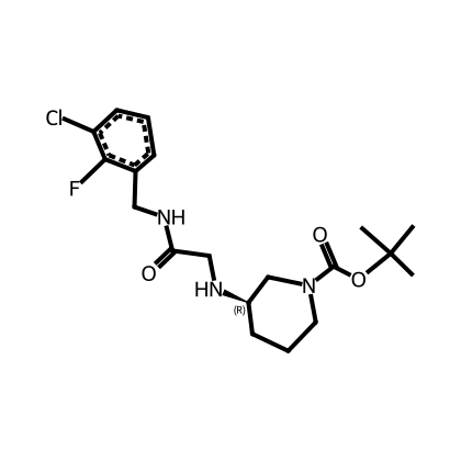 CC(C)(C)OC(=O)N1CCC[C@@H](NCC(=O)NCc2cccc(Cl)c2F)C1